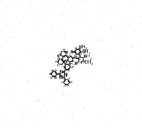 Bc1cc(B)c2c(c1B)c1c(B)c(B)cc(B)c1n2-c1cc(-c2cccc3sc4ccccc4c23)c2oc3cc(-c4nc(-c5ccccc5)nc(-c5ccccc5)n4)ccc3c2c1